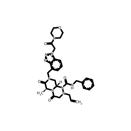 C=CCN1CC(=O)N2[C@@H](C)C(=O)N(Cc3cccc4c3nnn4CC(=O)N3CCOCC3)C[C@@H]2N1C(=O)NCc1ccccc1